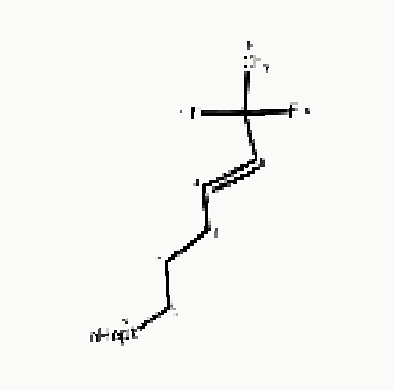 CCCCCCCCCC/C=C/C(F)(F)C(F)(F)F